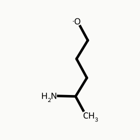 CC(N)CCC[O]